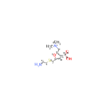 CN(C)Cc1oc(CSCCN)cc1C(=O)O